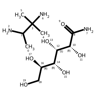 CC(N)C(C)(C)N.NC(=O)[C@H](O)[C@@H](O)[C@H](O)[C@H](O)CO